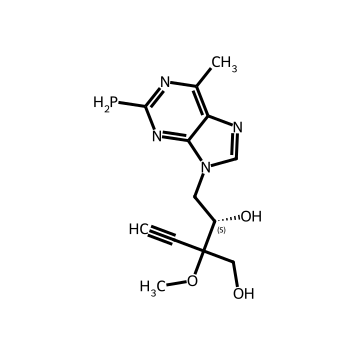 C#CC(CO)(OC)[C@@H](O)Cn1cnc2c(C)nc(P)nc21